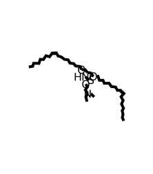 CCCCCCCC/C=C\CCCCCCCCOCC(COCCCCCCCC/C=C\CCCCCCCC)NC(=S)OCCN(CC)CC